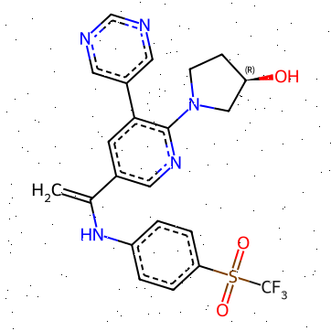 C=C(Nc1ccc(S(=O)(=O)C(F)(F)F)cc1)c1cnc(N2CC[C@@H](O)C2)c(-c2cncnc2)c1